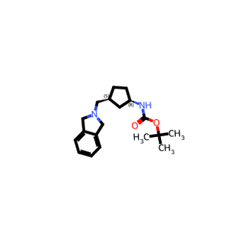 CC(C)(C)OC(=O)N[C@@H]1CC[C@H](CN2Cc3ccccc3C2)C1